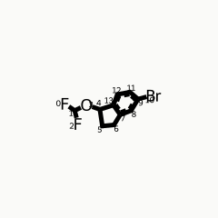 FC(F)OC1CCc2cc(Br)ccc21